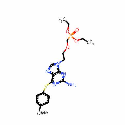 COc1ccc(Sc2nc(N)nc3c2ncn3CCOCP(=O)(OCC(F)(F)F)OCC(F)(F)F)cc1